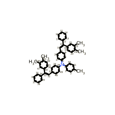 Cc1ccc(N(c2ccc(C=C(c3ccccc3)c3ccc(C)c(C)c3)cc2)c2ccc(C=C(c3ccccc3)c3ccc(C)c(C)c3)cc2)cc1